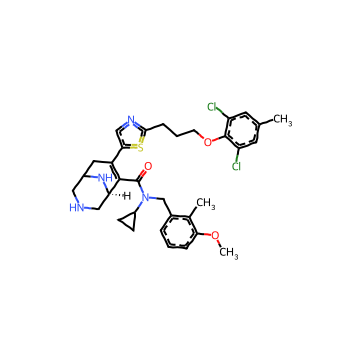 COc1cccc(CN(C(=O)C2=C(c3cnc(CCCOc4c(Cl)cc(C)cc4Cl)s3)CC3CNC[C@H]2N3)C2CC2)c1C